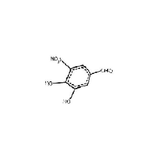 O=Cc1cc(O)c(O)c(S(=O)(=O)O)c1